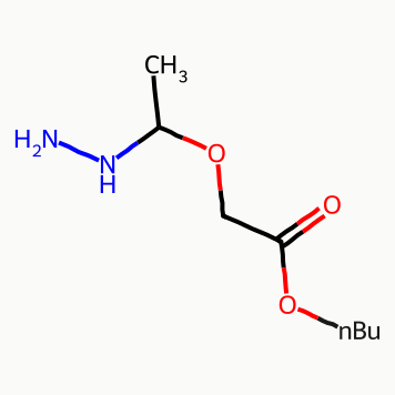 CCCCOC(=O)COC(C)NN